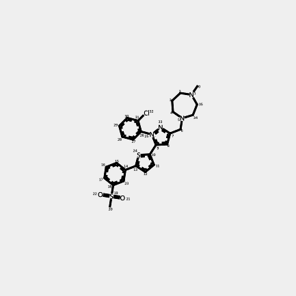 CN1CCCN(Cc2cc(-c3ccc(-c4cccc(S(C)(=O)=O)c4)s3)n(-c3ccccc3Cl)n2)CC1